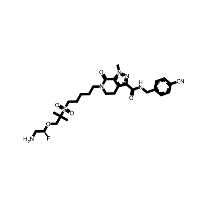 Cn1nc(C(=O)NCc2ccc(C#N)cc2)c2c1C(=O)N(CCCCCS(=O)(=O)C(C)(C)CO[C@@H](F)CN)CC2